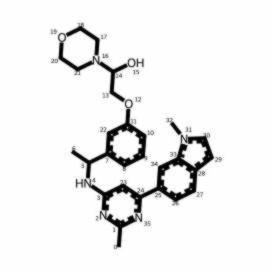 Cc1nc(NC(C)c2cccc(OCC(O)N3CCOCC3)c2)cc(-c2ccc3ccn(C)c3c2)n1